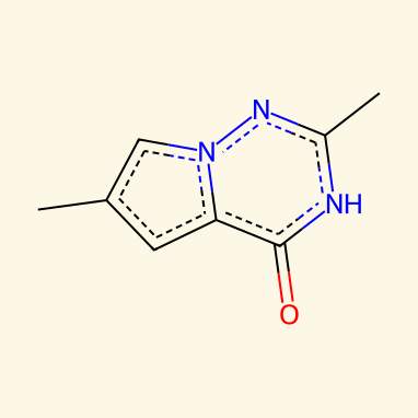 Cc1cc2c(=O)[nH]c(C)nn2c1